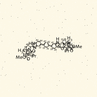 COC(=O)N[C@H](C(=O)N1[C@H](c2nc3cc(-c4ccc(-c5ccc6nc([C@@H]7CCC(C)(C)N7C(=O)[C@@H](NC(=O)OC)C(C)C)[nH]c6c5)cc4)ccc3[nH]2)CCC1(C)C)C(C)C